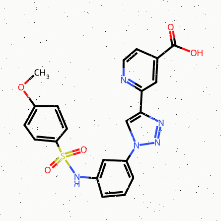 COc1ccc(S(=O)(=O)Nc2cccc(-n3cc(-c4cc(C(=O)O)ccn4)nn3)c2)cc1